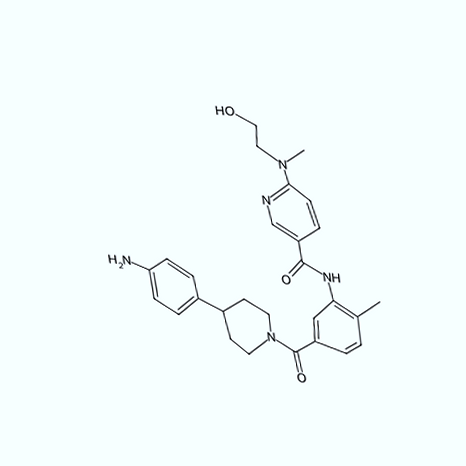 Cc1ccc(C(=O)N2CCC(c3ccc(N)cc3)CC2)cc1NC(=O)c1ccc(N(C)CCO)nc1